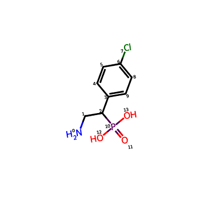 NCC(c1ccc(Cl)cc1)P(=O)(O)O